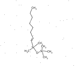 CCCCCC/C=C/[Si](C)(C)O[Si](C)(C)C